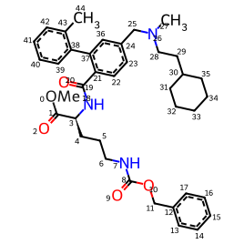 COC(=O)[C@H](CCCNC(=O)OCc1ccccc1)NC(=O)c1ccc(CN(C)CCC2CCCCC2)cc1-c1ccccc1C